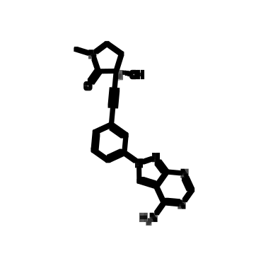 CN1CC[C@@](O)(C#Cc2cccc(-n3cc4c(N)ncnc4n3)c2)C1=O